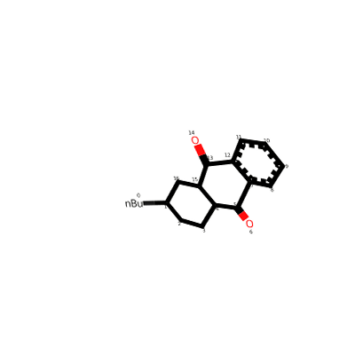 CCCCC1CCC2C(=O)c3ccccc3C(=O)C2C1